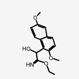 CCOC(=N)C(O)c1c(OC)ccc2cc(OC)ccc12